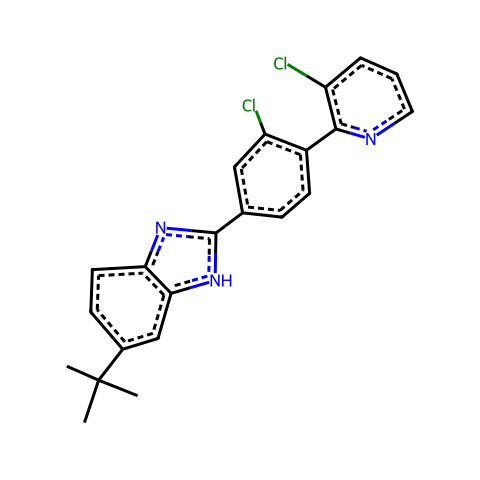 CC(C)(C)c1ccc2nc(-c3ccc(-c4ncccc4Cl)c(Cl)c3)[nH]c2c1